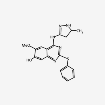 COc1cc2c(NC3=NNC(C)C3)nc(Sc3ccccc3)nc2cc1O